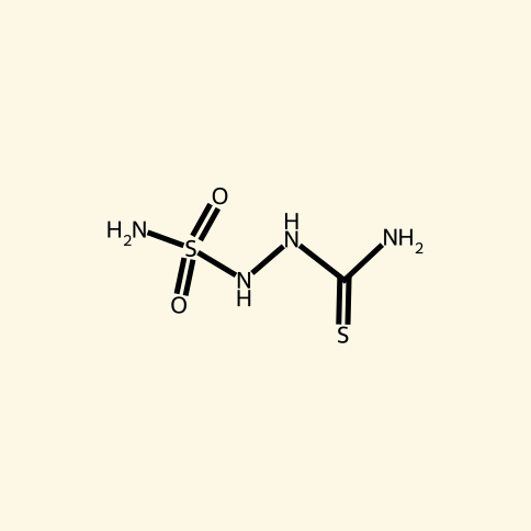 NC(=S)NNS(N)(=O)=O